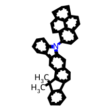 CC1(C)c2ccccc2-c2ccc3cc4c(cc3c21)c1ccccc1n4-c1ccc2ccc3cccc4ccc1c2c34